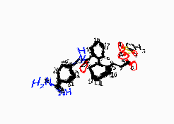 CS(=O)(=O)OC(=O)CCc1ccccc1-c1ccccc1C(=O)Nc1ccc(C(=N)N)cc1